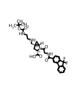 CC(C)(C)OC(=O)NCCNC[C@@]12C[C@@H]1N(C(=O)CNC(=O)c1ccc3c(c1)-c1ccccc1C3(F)F)[C@H](C(=O)O)C2